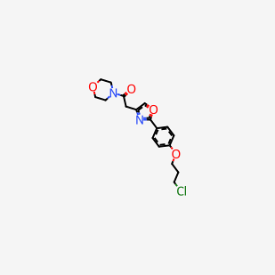 O=C(Cc1coc(-c2ccc(OCCCCl)cc2)n1)N1CCOCC1